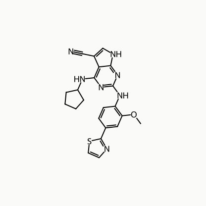 COc1cc(-c2nccs2)ccc1Nc1nc(NC2CCCC2)c2c(C#N)c[nH]c2n1